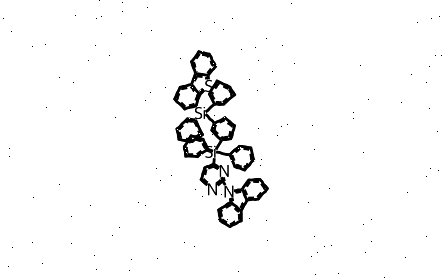 c1ccc([Si](c2ccccc2)(c2cccc([Si](c3ccccc3)(c3ccccc3)c3cccc4c3sc3ccccc34)c2)c2ccnc(-n3c4ccccc4c4ccccc43)n2)cc1